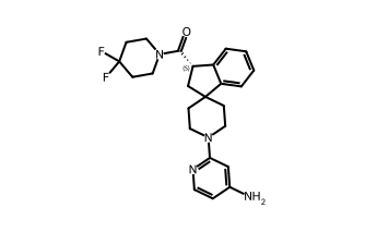 Nc1ccnc(N2CCC3(CC2)C[C@H](C(=O)N2CCC(F)(F)CC2)c2ccccc23)c1